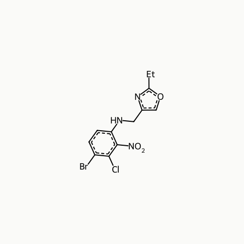 CCc1nc(CNc2ccc(Br)c(Cl)c2[N+](=O)[O-])co1